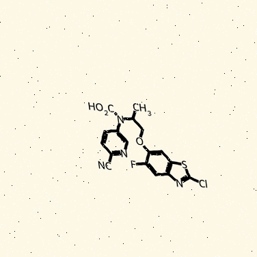 CC(COc1cc2sc(Cl)nc2cc1F)N(C(=O)O)c1ccc(C#N)nc1